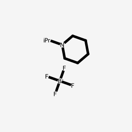 CC(C)N1CCCCC1.F[B-](F)(F)F